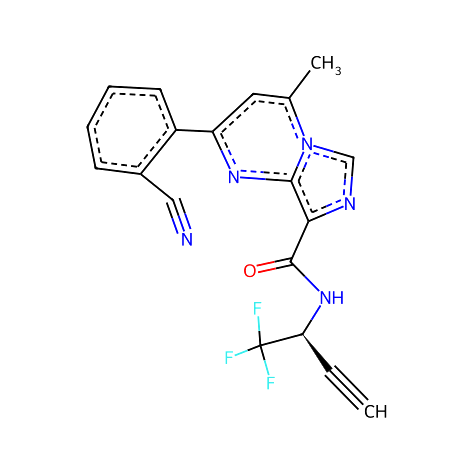 C#C[C@H](NC(=O)c1ncn2c(C)cc(-c3ccccc3C#N)nc12)C(F)(F)F